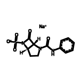 O=C(Nc1ccccc1)N1CC[C@@H]2[C@@H]1C(=O)N2S(=O)(=O)[O-].[Na+]